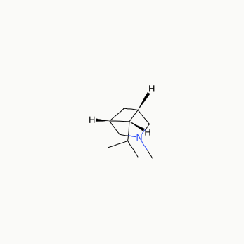 CC(C)[C@H]1[C@@H]2C[C@H]1CN(C)C2